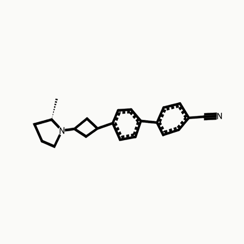 C[C@H]1CCCN1C1CC(c2ccc(-c3ccc(C#N)cc3)cc2)C1